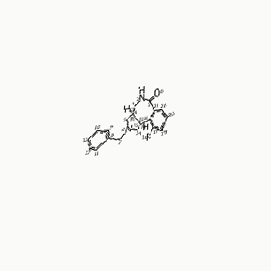 O=C1NC[C@@H]2CN(Cc3ccccc3)C[C@@H]2c2c(F)cccc21